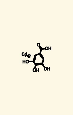 O=C(O)c1cc(O)c(O)c(O)c1.[Ag].[Gd]